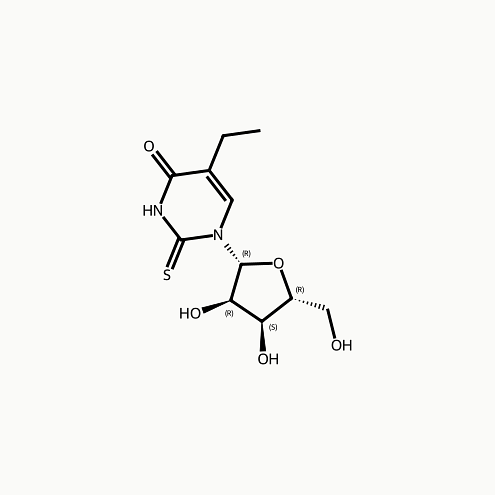 CCc1cn([C@@H]2O[C@H](CO)[C@@H](O)[C@H]2O)c(=S)[nH]c1=O